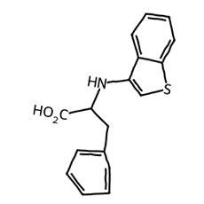 O=C(O)C(Cc1ccccc1)Nc1csc2ccccc12